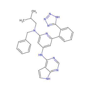 CC(C)CN(Cc1ccccc1)c1cc(Nc2ncnc3[nH]ccc23)cc(-c2ccccc2-c2nnn[nH]2)n1